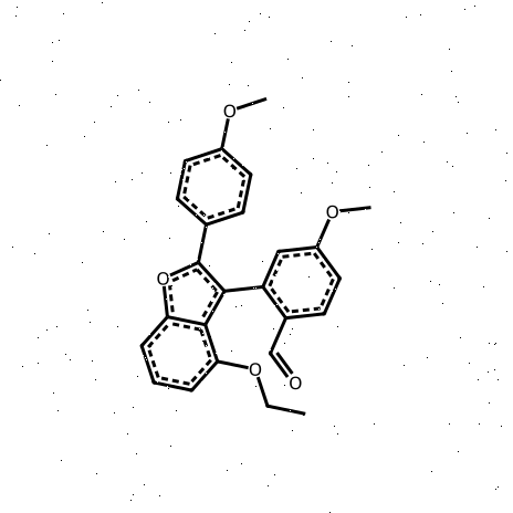 CCOc1cccc2oc(-c3ccc(OC)cc3)c(-c3cc(OC)ccc3C=O)c12